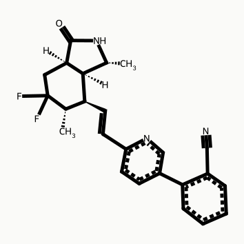 C[C@H]1NC(=O)[C@@H]2CC(F)(F)[C@@H](C)[C@H](/C=C/c3ccc(-c4ccccc4C#N)cn3)[C@H]12